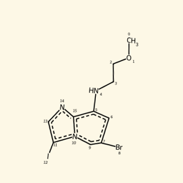 COCCNc1cc(Br)cn2c(I)cnc12